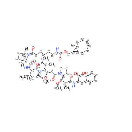 CC[C@H](C)[C@@H]([C@@H](CC(=O)N1CCCC1[C@H](OC)[C@@H](C)C(=O)NC(Cc1ccccc1)C(=O)O)OC)N(C)C(=O)C(NC(=O)[C@@H]1[C@H]2CC[C@H](C2)N1C(=O)CCCCCNC(=O)OCC1C2CCC#CCC[C@@H]21)C(C)C